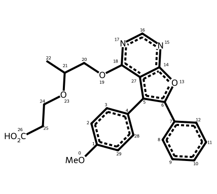 COc1ccc(-c2c(-c3ccccc3)oc3ncnc(OCC(C)OCCC(=O)O)c23)cc1